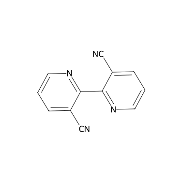 N#Cc1cccnc1-c1ncccc1C#N